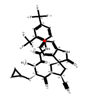 CN(C(=O)C(=O)Nc1ccc(C(F)(F)F)cc1C(F)(F)F)[C@@H](CC1CC1)C(=O)N1C[C@]2(C[C@H]1C#N)C(=O)Nc1ccccc12